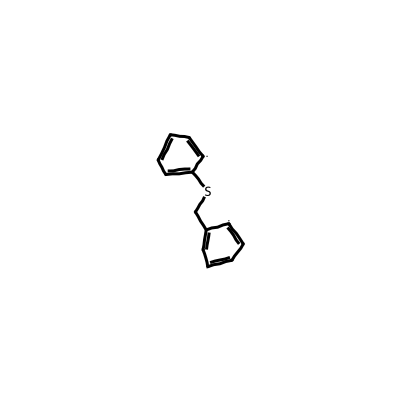 [c]1ccccc1CSc1[c]cccc1